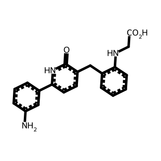 Nc1cccc(-c2ccc(Cc3ccccc3NCC(=O)O)c(=O)[nH]2)c1